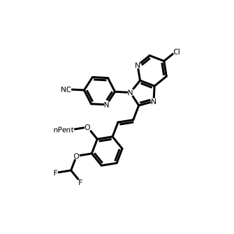 CCCCCOc1c(C=Cc2nc3cc(Cl)cnc3n2-c2ccc(C#N)cn2)cccc1OC(F)F